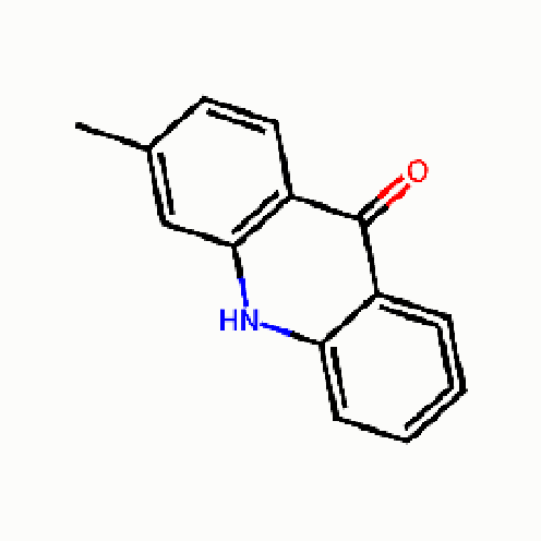 Cc1ccc2c(=O)c3c([nH]c2c1)=CC=C=C=3